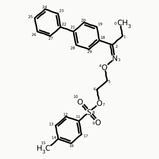 CCC(=NOCCOS(=O)(=O)c1ccc(C)cc1)c1ccc(-c2ccccc2)cc1